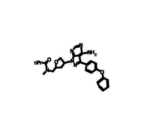 CCCC(=O)N(C)CC1CC(n2nc(-c3ccc(Oc4ccccc4)cc3)c3c(N)ncnc32)CO1